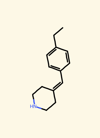 CCc1ccc(C=C2CCNCC2)cc1